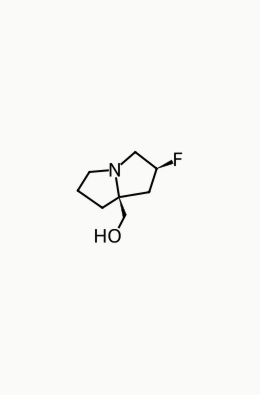 OC[C@@]12CCCN1C[C@@H](F)C2